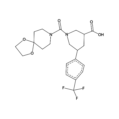 O=C(O)C1CC(c2ccc(C(F)(F)F)cc2)CN(C(=O)N2CCC3(CC2)OCCO3)C1